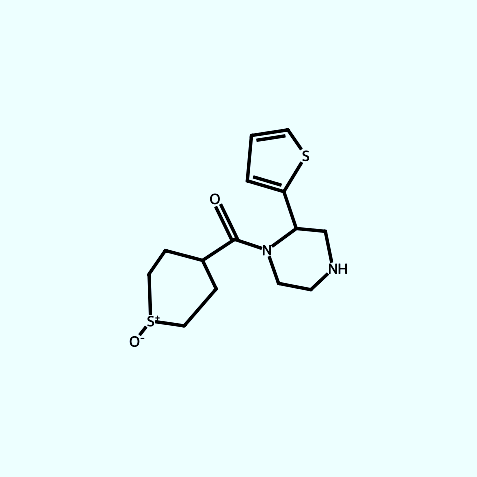 O=C(C1CC[S+]([O-])CC1)N1CCNCC1c1cccs1